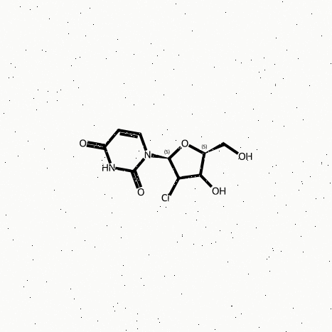 O=c1ccn([C@H]2O[C@@H](CO)C(O)C2Cl)c(=O)[nH]1